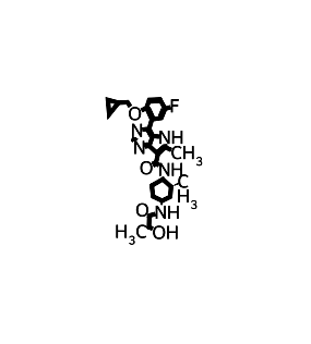 Cc1[nH]c2c(-c3cc(F)ccc3OCC3CC3)ncnc2c1C(=O)N[C@H]1CC[C@@H](NC(=O)[C@H](C)O)C[C@H]1C